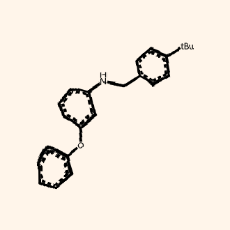 CC(C)(C)c1ccc(CNc2cccc(Oc3ccccc3)c2)cc1